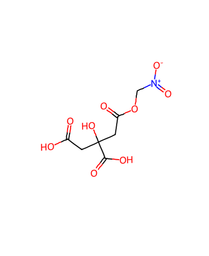 O=C(O)CC(O)(CC(=O)OC[N+](=O)[O-])C(=O)O